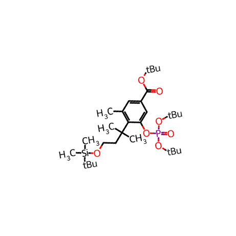 Cc1cc(C(=O)OC(C)(C)C)cc(OP(=O)(OC(C)(C)C)OC(C)(C)C)c1C(C)(C)CCO[Si](C)(C)C(C)(C)C